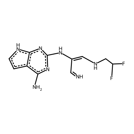 N=C/C(=C\NCC(F)F)Nc1nc(N)c2cc[nH]c2n1